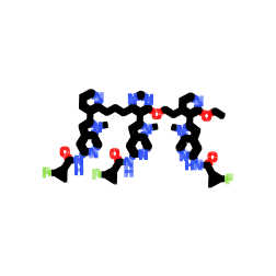 CCOc1nccc(CCOc2ncnc(CCCc3ncccc3-c3cc4cc(NC(=O)C5CC5F)ncc4n3C)c2-c2cc3cc(NC(=O)C4CC4F)ncc3n2C)c1-c1cc2cc(NC(=O)C3CC3F)ncc2n1C